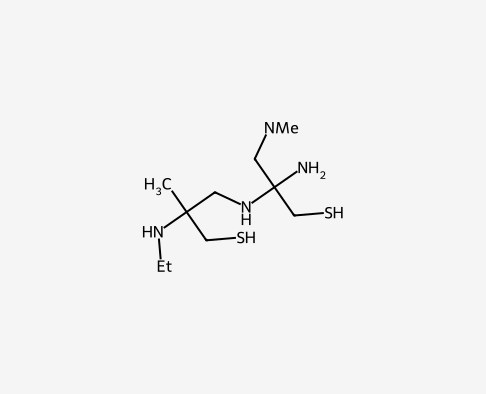 CCNC(C)(CS)CNC(N)(CS)CNC